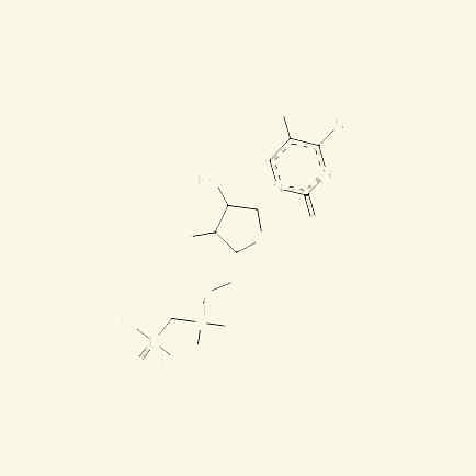 Nc1nc(=O)n([C@@H]2O[C@H](CO[PH](O)(O)CP(=O)(O)O)C(O)C2O)cc1I